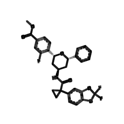 COC(=O)c1ccc([C@H]2C[C@H](NC(=O)C3(c4ccc5c(c4)OC(F)(F)O5)CC3)C[C@@H](c3ccccc3)O2)c(F)c1